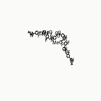 COCCn1c(Cc2cc(F)c(-c3cccc(OCc4ccc(-c5cnn(C6CC6)c5)cc4F)n3)cc2F)nc2ccc(C(=O)OC(=O)c3ccc4nc(Cc5cc(F)c(-c6cccc(OCc7ccc(-c8cnn(C9CC9)c8)cc7F)n6)cc5F)n(CCOC)c4c3)cc21